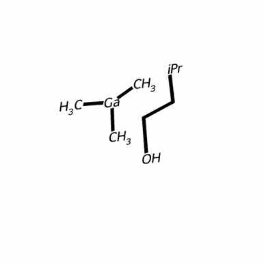 CC(C)CCO.[CH3][Ga]([CH3])[CH3]